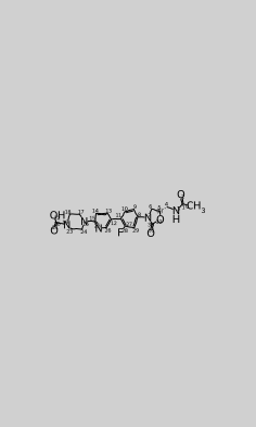 CC(=O)NC[C@H]1CN(c2ccc(-c3ccc(N4CCN(C(=O)O)CC4)nc3)c(F)c2)C(=O)O1